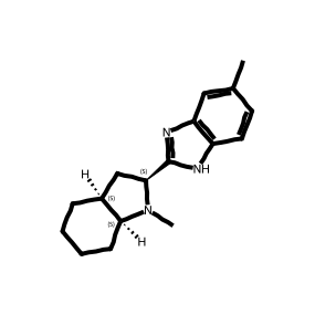 Cc1ccc2[nH]c([C@@H]3C[C@@H]4CCCC[C@@H]4N3C)nc2c1